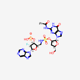 CC(C)C(=O)Nc1nc2c(ncn2[C@@H]2O[C@H](CO)C[C@H]2OS(=O)(=O)NC[C@H]2O[C@H](n3cnc4cncnc43)[C@H](F)[C@@H]2O[PH](=O)O)c(=O)[nH]1